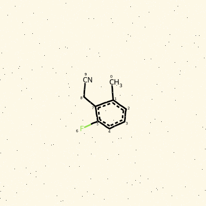 Cc1cccc(F)c1CC#N